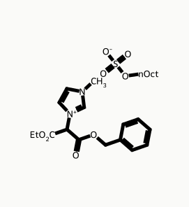 CCCCCCCCOS(=O)(=O)[O-].CCOC(=O)C(C(=O)OCc1ccccc1)[n+]1ccn(C)c1